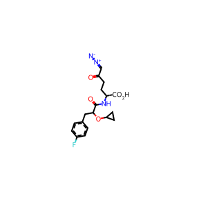 [N-]=[N+]=CC(=O)CCC(NC(=O)C(Cc1ccc(F)cc1)OC1CC1)C(=O)O